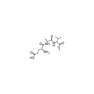 COC(=O)[C@@H](NC(=O)[C@H](C)NC(=O)[C@@H](N)CCC(=O)O)C(C)C